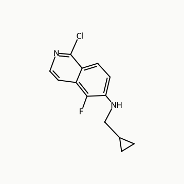 Fc1c(NCC2CC2)ccc2c(Cl)nccc12